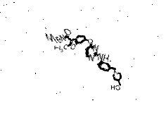 CNC(=O)c1c(C)oc2cc(Oc3ccnc(Nc4cccc(CN5CCC(CO)CC5)c4)n3)ccc12